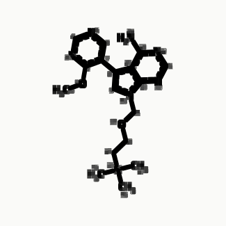 COc1ncncc1-c1cn(COCC[Si](C)(C)C)c2ncnc(N)c12